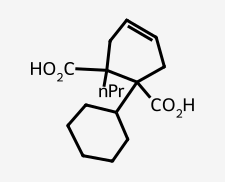 CCCC1(C(=O)O)CC=CCC1(C(=O)O)C1CCCCC1